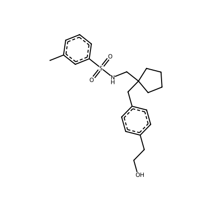 Cc1cccc(S(=O)(=O)NCC2(Cc3ccc(CCO)cc3)CCCC2)c1